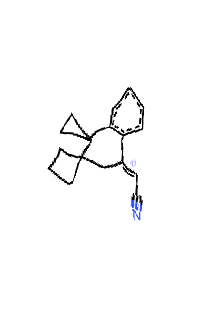 N#C/C=C1\CC2(CCC2)C2(CC2)c2ccccc21